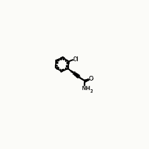 NC(=O)C#Cc1ccccc1Cl